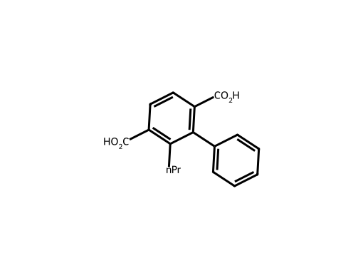 CCCc1c(C(=O)O)ccc(C(=O)O)c1-c1ccccc1